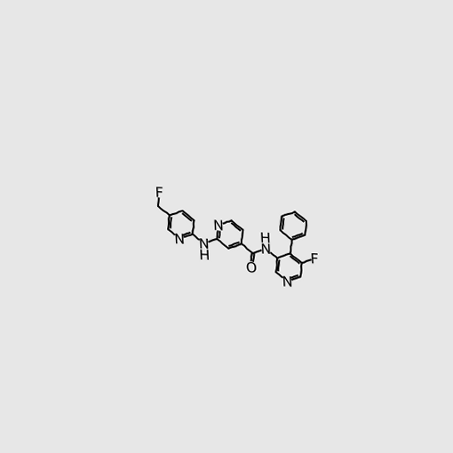 O=C(Nc1cncc(F)c1-c1ccccc1)c1ccnc(Nc2ccc(CF)cn2)c1